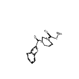 CC(C)(C)OC(=O)N1CCC[C@@H](C(=O)c2cc3ccccc3s2)C1